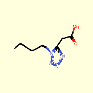 CCCCn1nnnc1CC(=O)O